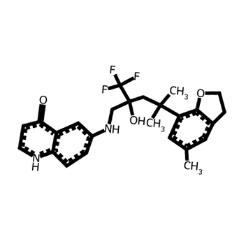 Cc1cc2c(c(C(C)(C)CC(O)(CNc3ccc4[nH]ccc(=O)c4c3)C(F)(F)F)c1)OCC2